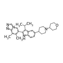 Cc1c(-c2[nH]c3ccc(C4CCN(C5CCOCC5)CC4)cc3c2C(C)C)cn2cnnc2c1C